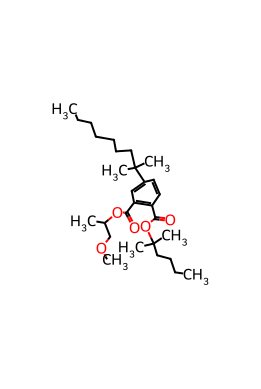 CCCCCCCC(C)(C)c1ccc(C(=O)OC(C)(C)CCCC)c(C(=O)OC(C)COC)c1